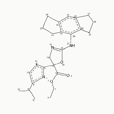 CCOC(=O)C1(c2nc(C(C)C)cs2)CN=C(Nc2c3c(cc4c2CCC4)CCC3)O1